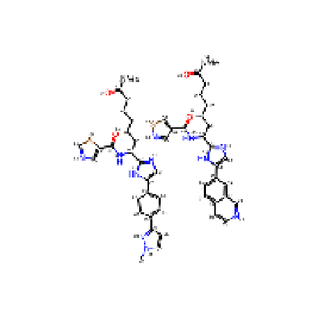 CNC(=O)CCCCC[C@H](NC(=O)c1cncs1)c1ncc(-c2ccc(-c3ccn(C)n3)cc2)[nH]1.CNC(=O)CCCCC[C@H](NC(=O)c1cnsc1)c1ncc(-c2ccc3ccncc3c2)[nH]1